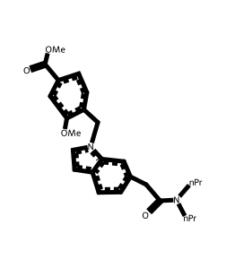 CCCN(CCC)C(=O)Cc1ccc2ccn(Cc3ccc(C(=O)OC)cc3OC)c2c1